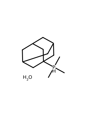 C[PH](C)(C)C12CC3CC(CC(C3)C1)C2.O